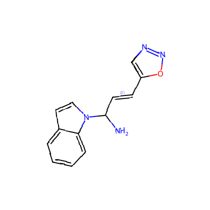 NC(/C=C/c1cnno1)n1ccc2ccccc21